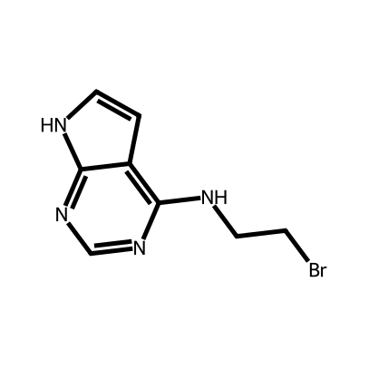 BrCCNc1ncnc2[nH]ccc12